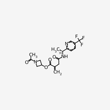 C=C(CC(=O)N[C@@H](C)c1ccc(C(F)(F)F)cn1)C(=O)OC1CN(C(C)=O)C1